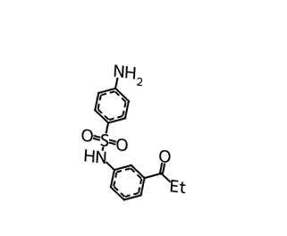 CCC(=O)c1cccc(NS(=O)(=O)c2ccc(N)cc2)c1